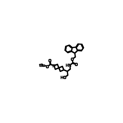 CC(C)(C)OC(=O)N1CC2(CC(C(CO)CNC(=O)OCC3c4ccccc4-c4ccccc43)C2)C1